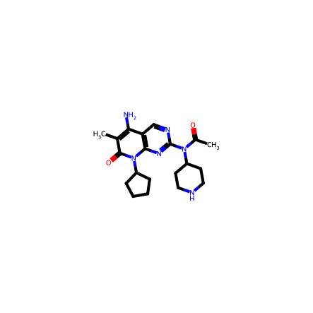 CC(=O)N(c1ncc2c(N)c(C)c(=O)n(C3CCCC3)c2n1)C1CCNCC1